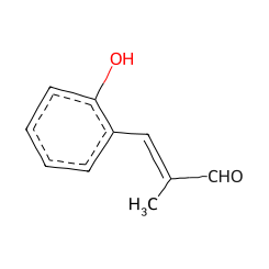 C/C(C=O)=C\c1ccccc1O